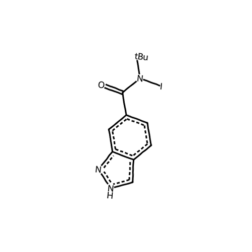 CC(C)(C)N(I)C(=O)c1ccc2c[nH]nc2c1